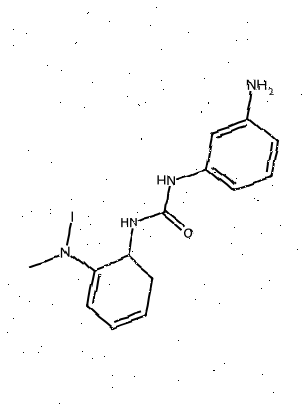 CN(I)C1=CC=CCC1NC(=O)Nc1cccc(N)c1